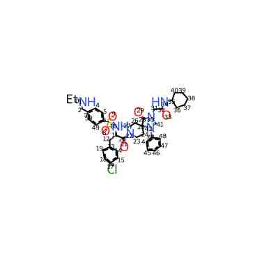 CCNCc1ccc(S(=O)(=O)N[C@H](Cc2ccc(Cl)cc2)C(=O)N2CCC3(CC2)C(=O)N(CC(=O)NC2CCCCC2)CN3c2ccccc2)cc1